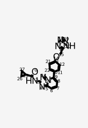 O=C(Nc1nc2cccc(-c3ccc(OCc4nnn[nH]4)cc3)n2n1)C1CC1